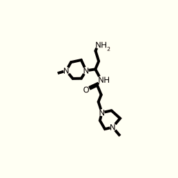 CN1CCN(CCC(=O)NC(CCN)N2CCN(C)CC2)CC1